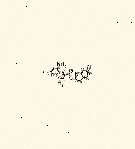 CC/C(=C\c1cnc(Cl)cc1N)C(=O)Oc1ccc2cnc(Cl)cc2n1